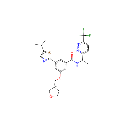 CC(C)c1cnc(-c2cc(OC[C@@H]3CCOC3)cc(C(=O)NC(C)c3ccc(C(F)(F)F)nn3)c2)s1